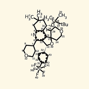 CC1(C)Cc2nc(C3CCOCC3)c3c(c2[C@@H](O[Si](C)(C)C(C)(C)C)C1)C1(CCOCC1I)O[C@@H]3c1ccc(S(F)(F)(F)(F)F)cc1